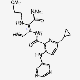 CNC(=O)/C(NCCOC)=C(/C=N)NC(=O)c1nc(C2CC2)ccc1Nc1cncnc1